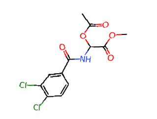 COC(=O)C(NC(=O)c1ccc(Cl)c(Cl)c1)OC(C)=O